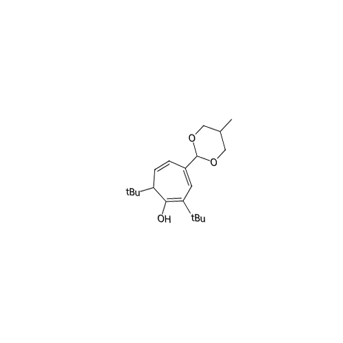 CC1COC(C2=CC(C(C)(C)C)=C(O)C(C(C)(C)C)C=C2)OC1